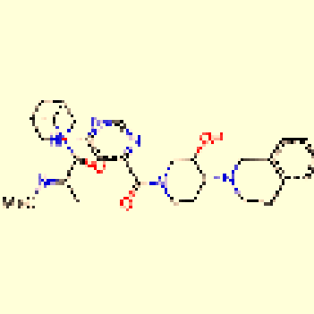 CON=C(C)C(=O)N1CC2CC(C1)C2Nc1cc(C(=O)N2CC[C@@H](N3CCc4ccccc4C3)[C@H](O)C2)ncn1